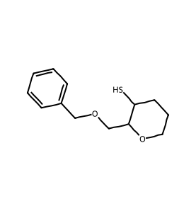 SC1CCCOC1COCc1ccccc1